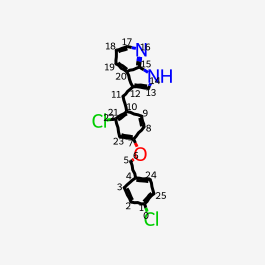 Clc1ccc(COc2ccc(Cc3c[nH]c4ncccc34)c(Cl)c2)cc1